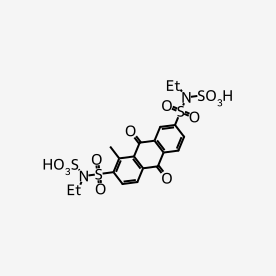 CCN(S(=O)(=O)O)S(=O)(=O)c1ccc2c(c1)C(=O)c1c(ccc(S(=O)(=O)N(CC)S(=O)(=O)O)c1C)C2=O